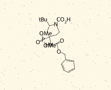 COP(=O)(OC)C1(NC(=O)OCc2ccccc2)CCN(C(=O)O)C(C(C)(C)C)C1